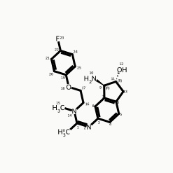 CC(=Nc1ccc2c(c1)[C@@H](N)[C@H](O)C2)N(C)CCOc1ccc(F)cc1